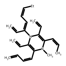 C=C/C=C\C1=C(C=C)N(/C(C=C)=C/C=C\CC)C(C=C)=C(/C=C\C)N1C